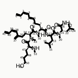 C=C/C=C\C=C\CC[C@@H](C(=O)NC(CC(C)C)C(=O)N(C)[C@@H](CC(C)C)C(N)=O)N(C)C(=O)[C@H](CCC(=C)/C=C\C=C)N(C)C(=O)[C@H](CCCCO)NC